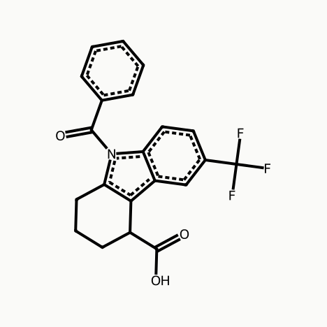 O=C(O)C1CCCc2c1c1cc(C(F)(F)F)ccc1n2C(=O)c1ccccc1